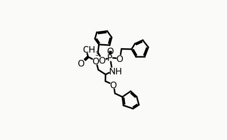 CC(=O)OCC(COCc1ccccc1)NP(=O)(OCc1ccccc1)OCc1ccccc1